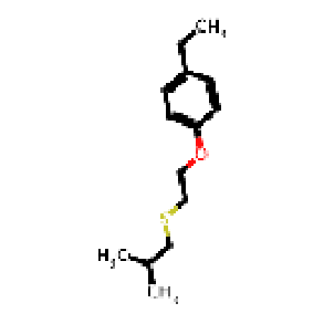 CCc1ccc(OCCSCC(C)C)cc1